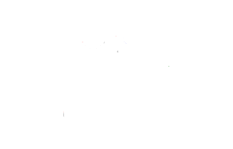 COCCOCC1CC[C@@H](Nc2ccc(F)cc2)C2(O)CCCOC12